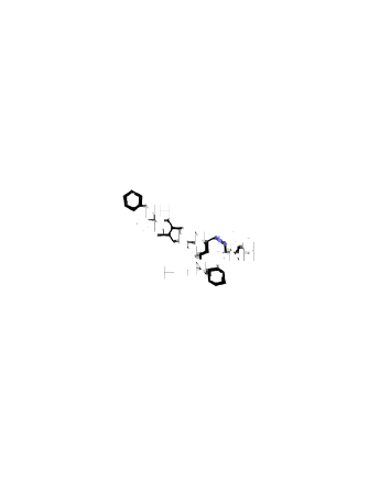 CN(c1ccccc1)c1cc(/C=C2/SC(=O)NC2=O)nc(N2CC3CN(C(=O)Nc4ccccc4)CC3C2)n1